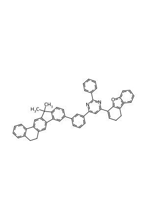 CC1(C)c2ccc(-c3cccc(-c4cc(C5=CCCc6c5oc5ccccc65)nc(-c5ccccc5)n4)c3)cc2-c2cc3c(cc21)-c1ccccc1CC3